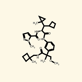 COCC(C)(C(=O)NCC1(C)CCC1)c1cccc(NC(=O)[C@@H](NC(=O)c2ccnn2C)C(C2CCC2)C2(C)CC2)c1